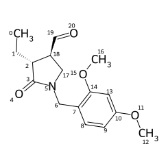 CC[C@H]1C(=O)N(Cc2ccc(OC)cc2OC)C[C@@H]1C=O